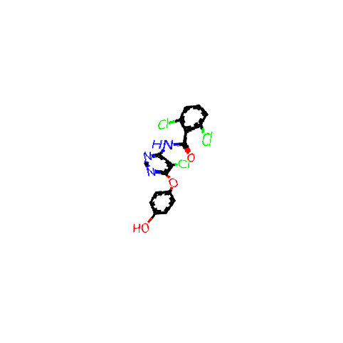 O=C(Nc1ncnc(Oc2ccc(O)cc2)c1Cl)c1c(Cl)cccc1Cl